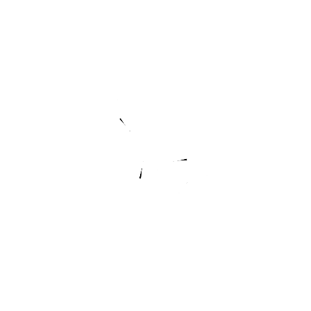 C=C1C[C@H]2[C@H]3[C@H](CC[C@]2(C)C1=O)[C@H]1CCCC=C1C[C@H]3C